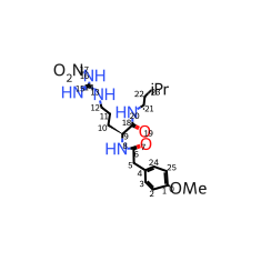 COc1ccc(CC(=O)N[C@@H](CCCNC(=N)N[N+](=O)[O-])C(=O)N[CH]CC(C)C)cc1